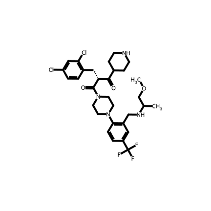 COCC(C)NCc1cc(C(F)(F)F)ccc1N1CCN(C(=O)[C@H](Cc2ccc(Cl)cc2Cl)C(=O)C2CCNCC2)CC1